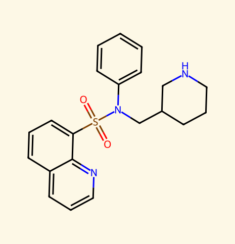 O=S(=O)(c1cccc2cccnc12)N(CC1CCCNC1)c1ccccc1